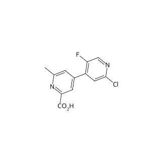 Cc1cc(-c2cc(Cl)ncc2F)cc(C(=O)O)n1